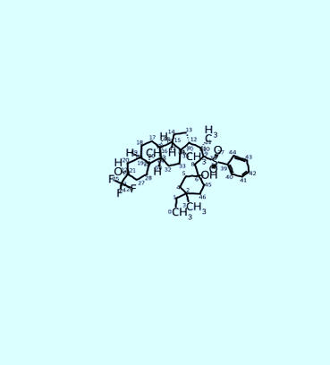 CCC1(C)CCC(O)(CC([C@@H](C)[C@H]2CC[C@H]3[C@@H]4CC[C@H]5C[C@](O)(C(F)(F)F)CC[C@]5(C)[C@H]4CC[C@]23C)S(=O)(=O)c2ccccc2)CC1